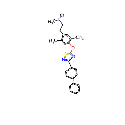 CCN(C)CCc1cc(C)c(Oc2nc(-c3ccc(-c4ccccc4)cc3)ns2)cc1C